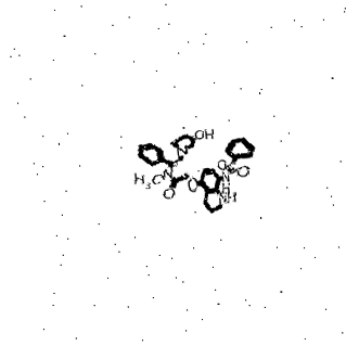 CN(C(=O)COc1ccc(NS(=O)(=O)c2ccccc2)c2c1CCCN2)[C@H](CN1CC[C@H](O)C1)c1ccccc1